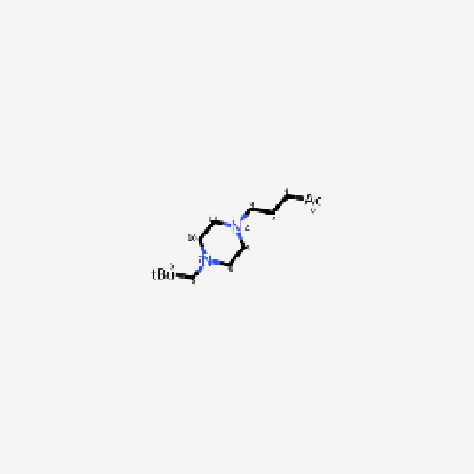 CC(=O)CCCN1CCN(CC(C)(C)C)CC1